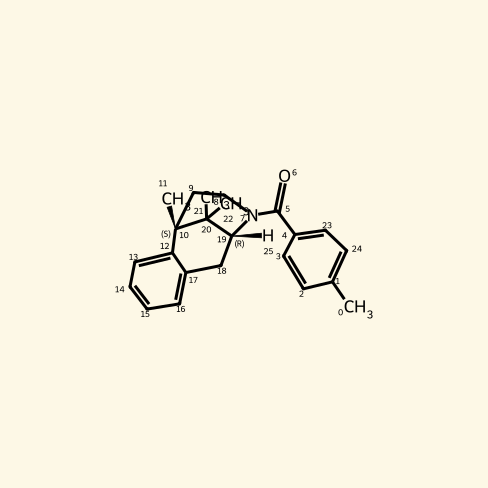 Cc1ccc(C(=O)N2CC[C@@]3(C)c4ccccc4C[C@@H]2C3(C)C)cc1